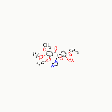 COc1cc(C(=O)c2c(Cn3ccnc3)oc3c(O)c(OC)ccc23)cc(OC)c1OC